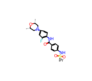 CC(C)S(=O)(=O)Nc1ccc(C(=O)Nc2ccc(N3C[C@@H](C)O[C@@H](C)C3)cc2F)cc1